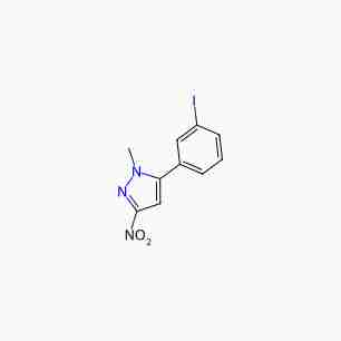 Cn1nc([N+](=O)[O-])cc1-c1cccc(I)c1